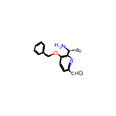 CCCC[C@H](N)c1nc(C=O)ccc1OCc1ccccc1